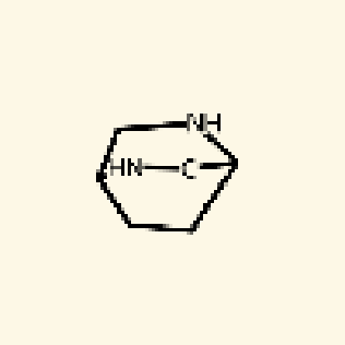 C1CC2CN[C]1CN2